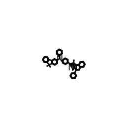 Cc1c(-c2ccc(N(c3ccccc3)c3ccc4c(c3)-c3ccccc3C4(C)C)cc2)nn2c(-c3ccccc3)cc3ccccc3c12